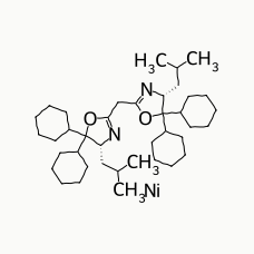 CC(C)C[C@H]1N=C(CC2=N[C@H](CC(C)C)C(C3CCCCC3)(C3CCCCC3)O2)OC1(C1CCCCC1)C1CCCCC1.[Ni]